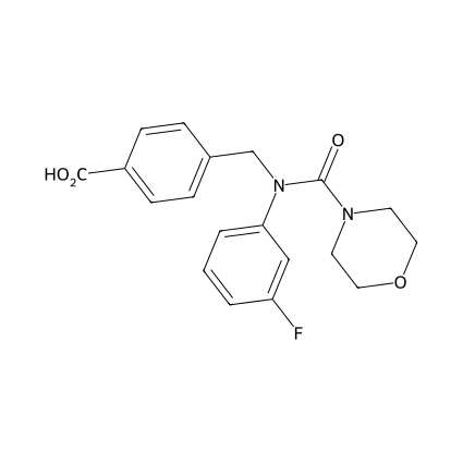 O=C(O)c1ccc(CN(C(=O)N2CCOCC2)c2cccc(F)c2)cc1